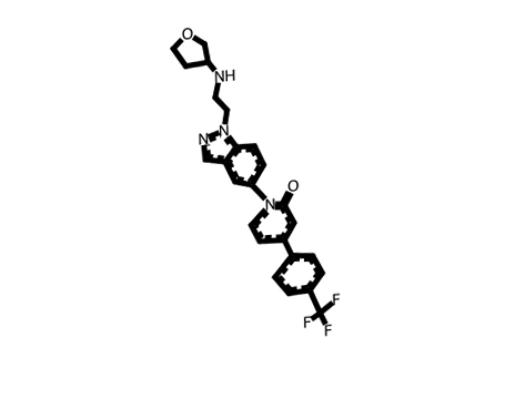 O=c1cc(-c2ccc(C(F)(F)F)cc2)ccn1-c1ccc2c(cnn2CCNC2CCOC2)c1